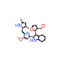 COC1=CC(c2[nH]c3ccccc3c2-c2occc2C=O)=NC1=Cc1[nH]c(C)cc1C